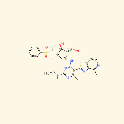 Cc1nc(NCC(C)(C)C)nc(N[C@@H]2C[C@H](C(C)(C)S(=O)(=O)c3ccccc3)[C@@H](O)/C2=C/O)c1-c1nc2c(C)nccc2s1